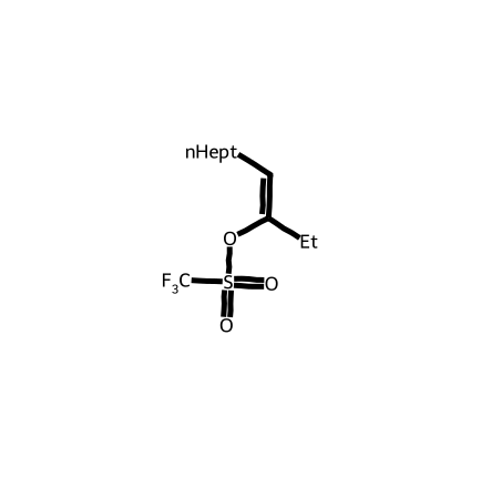 CCCCCCCC=C(CC)OS(=O)(=O)C(F)(F)F